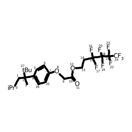 CC(C)CC(C)(c1ccc(OCC(=O)OCCC(F)(F)C(F)(F)C(F)(F)C(F)(F)F)cc1)C(C)(C)C